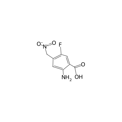 Nc1cc(C[N+](=O)[O-])c(F)cc1C(=O)O